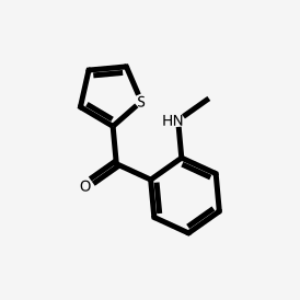 CNc1ccccc1C(=O)c1cccs1